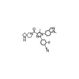 Cc1c(C(=O)N2CCC3(CCN3)C2)nc(-c2ccc(C#N)c(F)c2)n1-c1ccc2c(cnn2C)c1